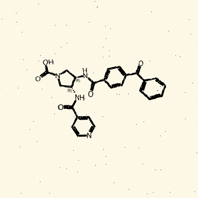 O=C(N[C@@H]1CN(C(=O)O)C[C@H]1NC(=O)c1ccc(C(=O)c2ccccc2)cc1)c1ccncc1